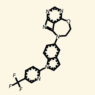 FC(F)(F)c1ccc(-n2ccc3cc(N4CCOc5ncnc6c5C4=N6)ccc32)nc1